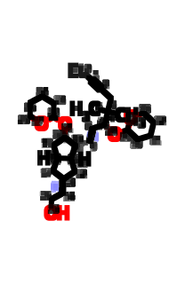 CCC#CCC(C)(C)[C@@H](/C=C/[C@@H]1[C@H]2C/C(=C/CO)C[C@H]2C[C@H]1OC1CCCCO1)OC1CCCCO1